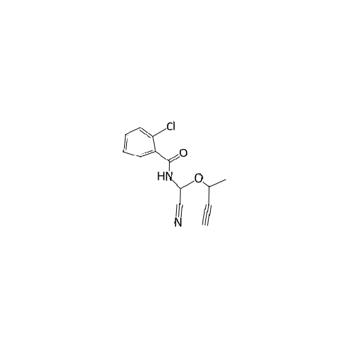 C#CC(C)OC(C#N)NC(=O)c1ccccc1Cl